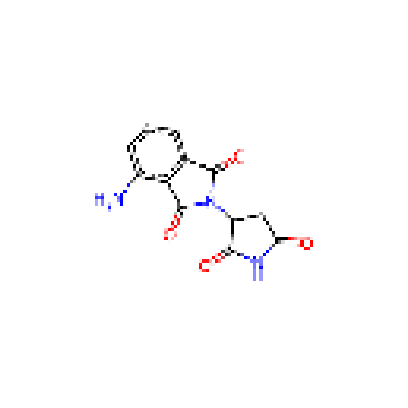 Nc1cccc2c1C(=O)N(C1CC(=O)NC1=O)C2=O